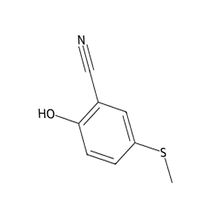 CSc1ccc(O)c(C#N)c1